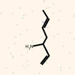 C=CC(N)C/C=C/C